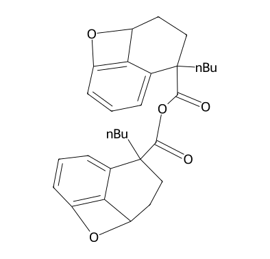 CCCCC1(C(=O)OC(=O)C2(CCCC)CCC3Oc4cccc2c43)CCC2Oc3cccc1c32